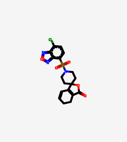 O=C1OC2(CCN(S(=O)(=O)c3ccc(Cl)c4nonc34)CC2)C2=C1CCC=C2